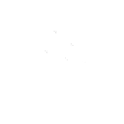 c1ccc2c(c1)oc1nc3nccnc3n12